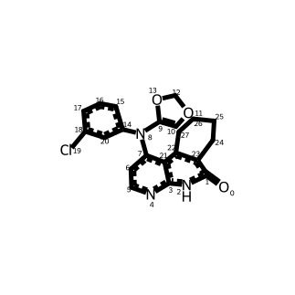 O=c1[nH]c2nccc(N(C3=COCO3)c3cccc(Cl)c3)c2c2c1CCCC2